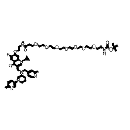 Cc1ccc(N2CCC[C@H](N(Cc3ccnc(C)c3)Cc3cn(C4CC4)c4cc(OCCN(C)C(=O)CCOCCOCCOCCOCCOCCOCCOCCNC(=O)OC(C)(C)C)c(F)cc4c3=O)C2)cn1